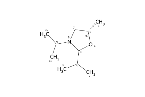 CC(C)C1O[C@@H](C)CN1C(C)C